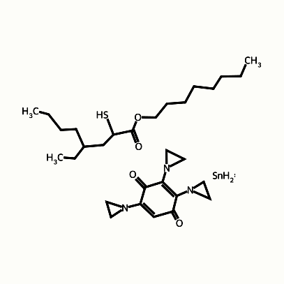 CCCCCCCCOC(=O)C(S)CC(CC)CCCC.O=C1C=C(N2CC2)C(=O)C(N2CC2)=C1N1CC1.[SnH2]